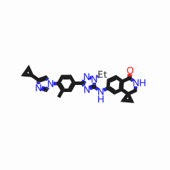 CCn1nc(-c2ccc(-n3cnc(C4CC4)c3)c(C)c2)nc1Nc1ccc2c(c1)C1(CC1)CNC2=O